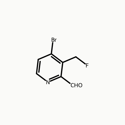 O=Cc1nccc(Br)c1CF